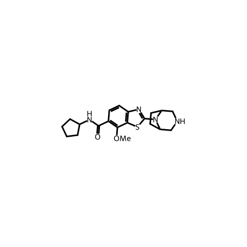 COc1c(C(=O)NC2CCCC2)ccc2nc(N3C4CCC3CNC4)sc12